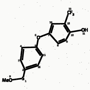 COSc1ccc(Oc2ccc(O)c(C(F)(F)F)c2)cc1